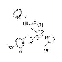 COc1ccc(CNc2nc(N3CCCC3CO)nc(O)c2CC(=O)NCc2ncccn2)cc1Cl